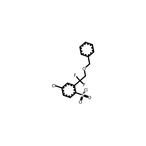 O=S(=O)(Cl)c1ccc(Cl)cc1C(F)(F)COCc1ccccc1